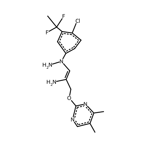 Cc1cnc(OC/C(N)=C/N(N)c2ccc(Cl)c(C(C)(F)F)c2)nc1C